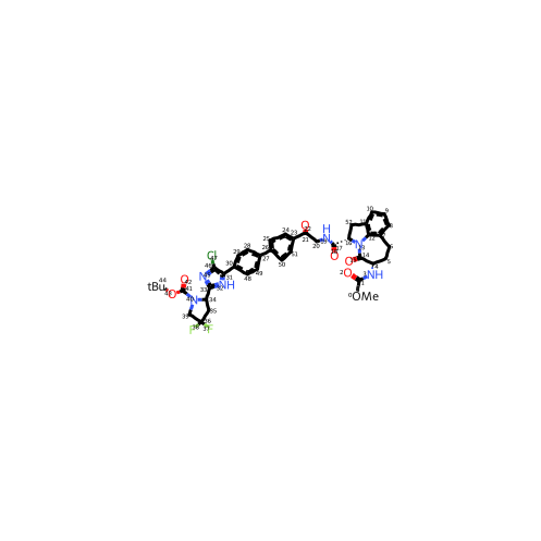 COC(=O)N[C@H]1CCc2cccc3c2N(C1=O)[C@H](C(=O)NCC(=O)c1ccc(-c2ccc(-c4[nH]c(C5CC(F)(F)CN5C(=O)OC(C)(C)C)nc4Cl)cc2)cc1)C3